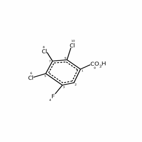 O=C(O)c1cc(F)c(Cl)c(Cl)c1Cl